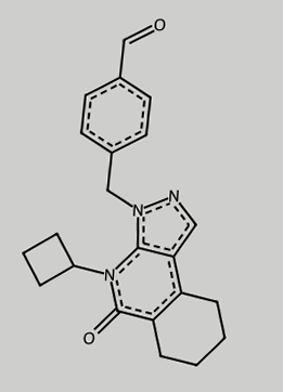 O=Cc1ccc(Cn2ncc3c4c(c(=O)n(C5CCC5)c32)CCCC4)cc1